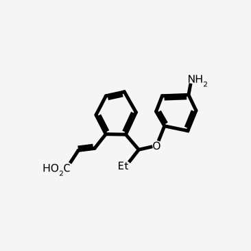 CCC(Oc1ccc(N)cc1)c1ccccc1C=CC(=O)O